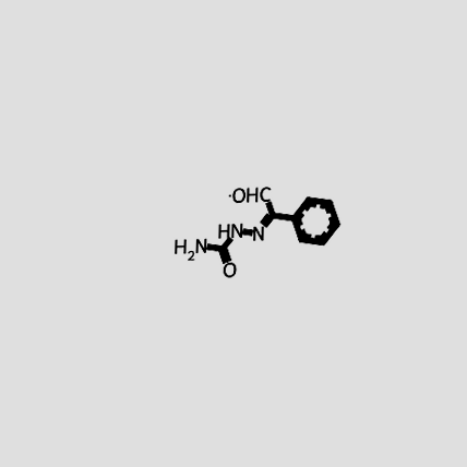 NC(=O)NN=C([C]=O)c1ccccc1